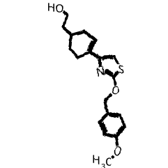 COc1ccc(COc2nc(C3=CCC(CCO)CC3)cs2)cc1